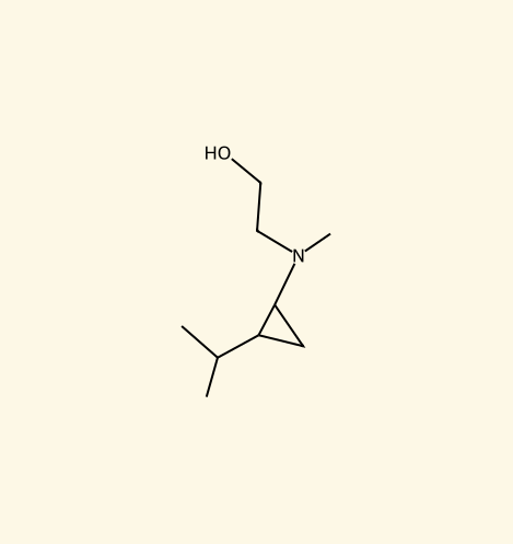 CC(C)C1CC1N(C)CCO